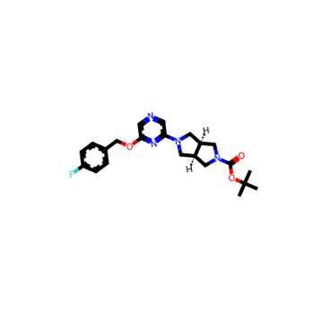 CC(C)(C)OC(=O)N1C[C@@H]2CN(c3cncc(OCc4ccc(F)cc4)n3)C[C@@H]2C1